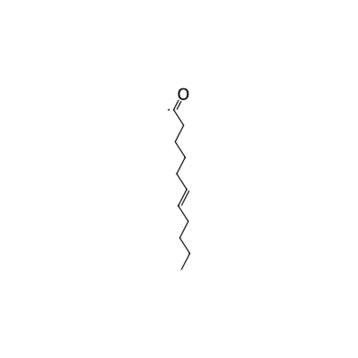 CCCC/C=C/CCCC[C]=O